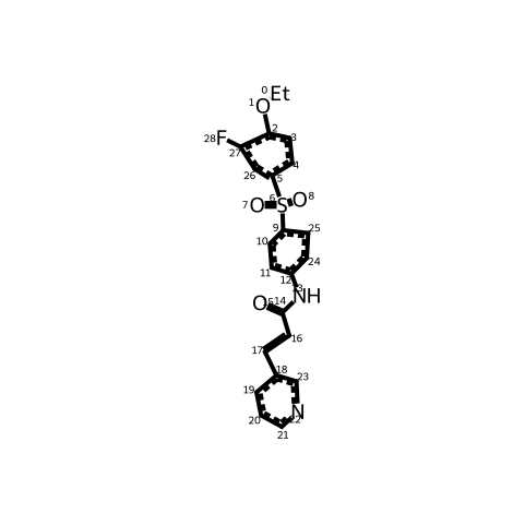 CCOc1ccc(S(=O)(=O)c2ccc(NC(=O)C=Cc3cccnc3)cc2)cc1F